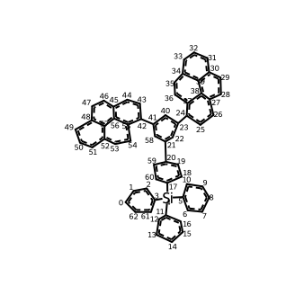 c1ccc([Si](c2ccccc2)(c2ccccc2)c2ccc(-c3cc(-c4ccc5ccc6cccc7ccc4c5c67)cc(-c4ccc5ccc6cccc7ccc4c5c67)c3)cc2)cc1